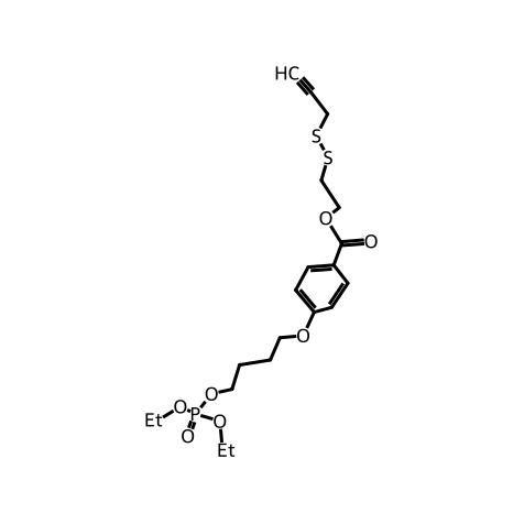 C#CCSSCCOC(=O)c1ccc(OCCCCOP(=O)(OCC)OCC)cc1